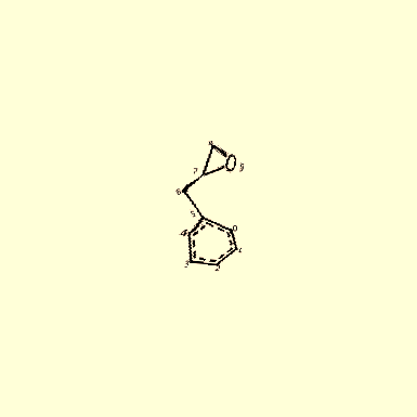 [c]1ccccc1C[C@H]1CO1